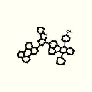 Cc1ccc(-c2c3c(c(-c4ccccc4)c4ccccc24)-c2cccc4c(-c5cc(-c6ccc7c8cccc9cccc(c%10cccc6c%107)c98)cc6c5sc5ccccc56)ccc-3c24)cc1